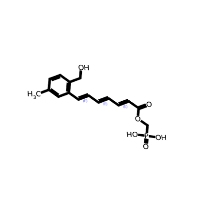 Cc1ccc(CO)c(/C=C/C=C/C=C/C(=O)OCP(=O)(O)O)c1